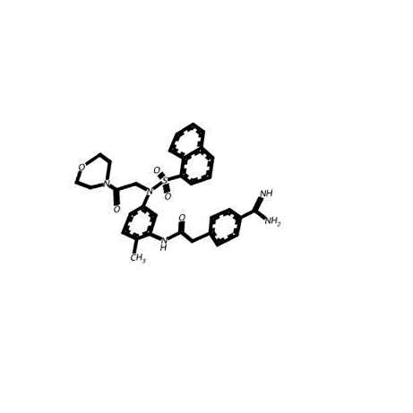 Cc1ccc(N(CC(=O)N2CCOCC2)S(=O)(=O)c2cccc3ccccc23)cc1NC(=O)Cc1ccc(C(=N)N)cc1